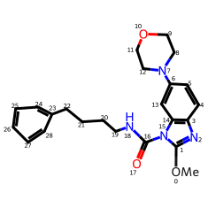 COc1nc2ccc(N3CCOCC3)cc2n1C(=O)NCCCCc1ccccc1